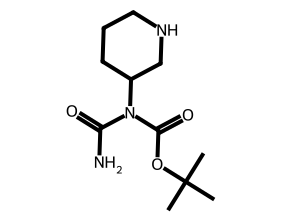 CC(C)(C)OC(=O)N(C(N)=O)C1CCCNC1